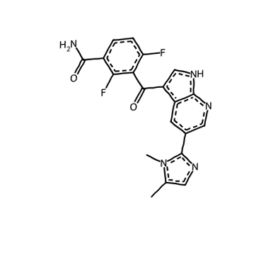 Cc1cnc(-c2cnc3[nH]cc(C(=O)c4c(F)ccc(C(N)=O)c4F)c3c2)n1C